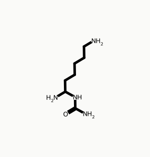 NCCCCCC(N)NC(N)=O